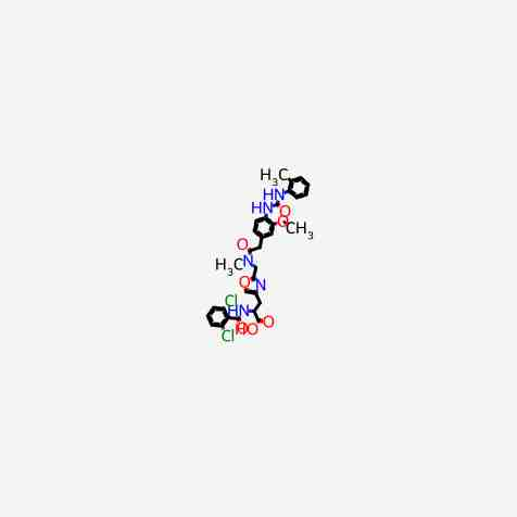 COc1cc(CC(=O)N(C)Cc2nc(CC(NC(=O)c3c(Cl)cccc3Cl)C(=O)O)co2)ccc1NC(=O)Nc1ccccc1C